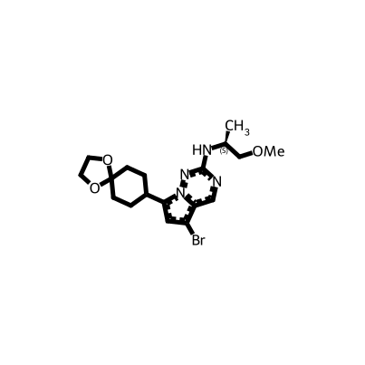 COC[C@H](C)Nc1ncc2c(Br)cc(C3CCC4(CC3)OCCO4)n2n1